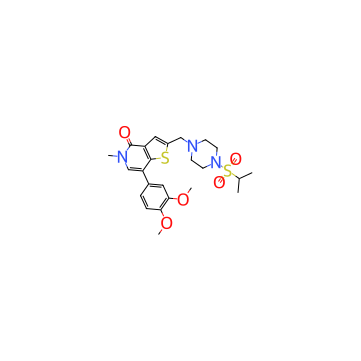 COc1ccc(-c2cn(C)c(=O)c3cc(CN4CCN(S(=O)(=O)C(C)C)CC4)sc23)cc1OC